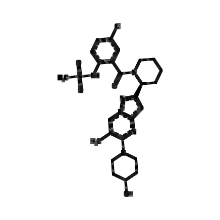 Cc1cn2nc([C@@H]3CCCCN3C(=O)c3cc(Cl)ccc3NS(C)(=O)=O)cc2nc1N1CCC(O)CC1